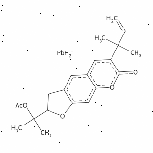 C=CC(C)(C)c1cc2cc3c(cc2oc1=O)OC(C(C)(C)OC(C)=O)C3.[PbH2]